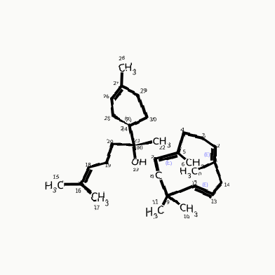 C/C1=C\CC/C(C)=C/CC(C)(C)/C=C/C1.CC(C)=CCC[C@@](C)(O)[C@H]1CC=C(C)CC1